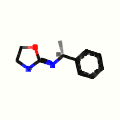 C[C@@H](N=C1[N]CCO1)c1ccccc1